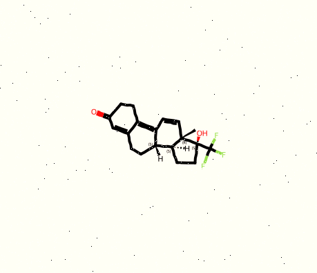 C[C@]12C=CC3=C4CCC(=O)C=C4CC[C@H]3[C@@H]1CC[C@@]2(O)C(F)(F)F